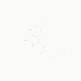 CCn1c(=O)n([C@@H]2O[C@H](CO)[C@H](O)[C@H]2O)c2nc(N)[nH]c(=O)c21